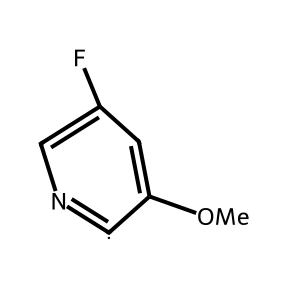 COc1[c]ncc(F)c1